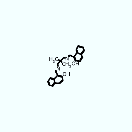 CC(C)(C/N=C/c1c(O)ccc2ccccc12)C/N=C/c1c(O)ccc2ccccc12